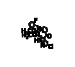 CC(C)(C)OC(=O)N(Cc1ccccc1F)N1C=C(C(=O)c2c[nH]c3ncc(Cl)cc23)C=CC1